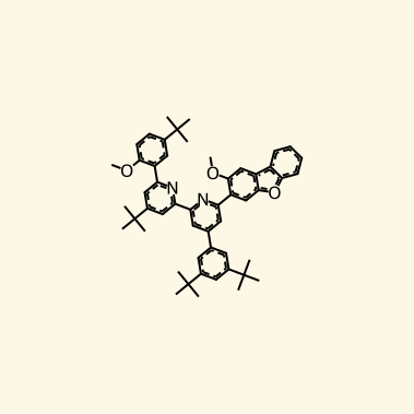 COc1ccc(C(C)(C)C)cc1-c1cc(C(C)(C)C)cc(-c2cc(-c3cc(C(C)(C)C)cc(C(C)(C)C)c3)cc(-c3cc4oc5ccccc5c4cc3OC)n2)n1